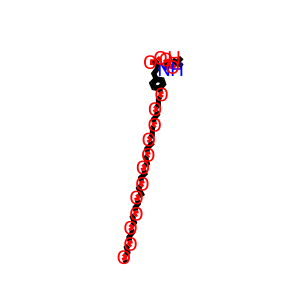 COCCOCCOCCOCCOCCOCCOCCOCCOCCOCCOCCOc1ccc(CC(NC(=O)OC(C)(C)C)C(=O)O)cc1